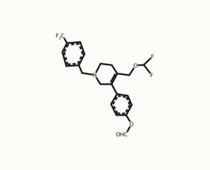 O=COc1ccc(C2=C(COC(F)F)CCN(Cc3ccc(C(F)(F)F)cc3)C2)cc1